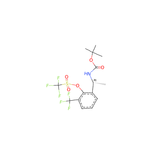 C[C@@H](NC(=O)OC(C)(C)C)c1cccc(C(F)(F)F)c1OS(=O)(=O)C(F)(F)F